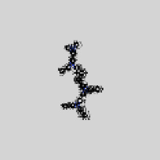 CC1(C)c2cc(N(c3ccc(-c4ccccc4)cc3)c3ccc(-c4ccc5c(c4)c4ccccc4n5-c4ccccc4)cc3)ccc2-c2cccc(-c3cccc(-c4ccc(N(c5ccc(-c6ccccc6)cc5)c5ccc(-c6ccc(N(c7ccc(-c8ccccc8)cc7)c7ccc(-c8ccccc8)cc7)cc6)cc5)cc4)c3)c21